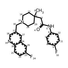 CC1(CC(=O)Nc2ccc(F)cc2)CCN(Cc2cnc3ccc(F)cc3c2)CC1